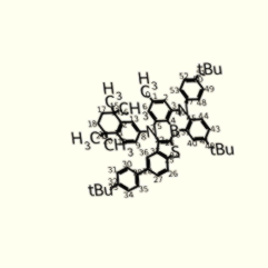 Cc1cc2c3c(c1)N(c1ccc4c(c1)C(C)(C)CCC4(C)C)c1c(sc4ccc(-c5ccc(C(C)(C)C)cc5)cc14)B3c1cc(C(C)(C)C)ccc1N2c1ccc(C(C)(C)C)cc1